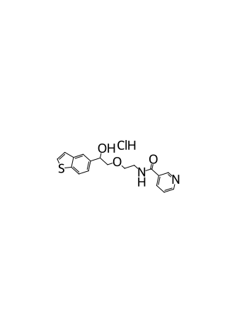 Cl.O=C(NCCOCC(O)c1ccc2sccc2c1)c1cccnc1